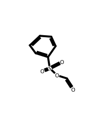 O=COS(=O)(=O)c1ccccc1